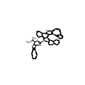 CC(C)c1nc(-n2c3ccc4ccccc4c3c3c4c(sc5ccc6ccccc6c54)c4ccccc4c32)nc2c1sc1ccccc12